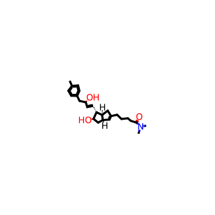 Cc1ccc(C[C@@H](O)/C=C/[C@@H]2[C@H]3CC(CCCCC(=O)N(C)C)=C[C@H]3C[C@H]2O)cc1